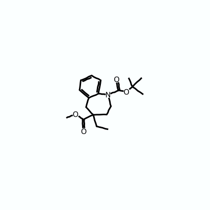 CCC1(C(=O)OC)CCN(C(=O)OC(C)(C)C)c2ccccc2C1